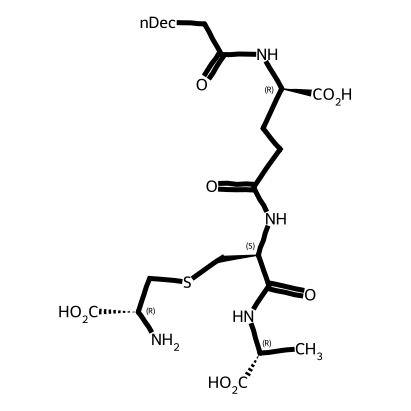 CCCCCCCCCCCC(=O)N[C@H](CCC(=O)N[C@H](CSC[C@H](N)C(=O)O)C(=O)N[C@H](C)C(=O)O)C(=O)O